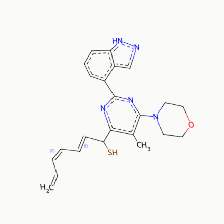 C=C/C=C\C=C\C(S)c1nc(-c2cccc3[nH]ncc23)nc(N2CCOCC2)c1C